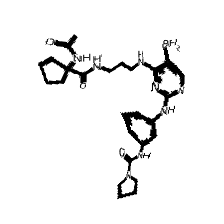 Bc1cnc(Nc2cccc(NC(=O)N3CCCC3)c2)nc1NCCCNC(=O)C1(NC(C)=O)CCCC1